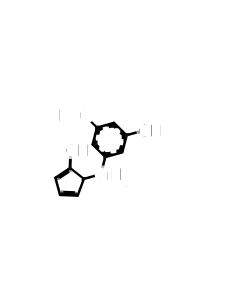 CC1=CC=C[C]1[SiH2]c1cc(C)cc(C)c1